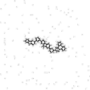 CC1(C)c2cc(-c3cccc(-c4ccc5sc6ccccc6c5c4)c3)ccc2-c2ccc(-c3cccc(-c4cnc5c6ccccc6c6ccccc6c5n4)c3)cc21